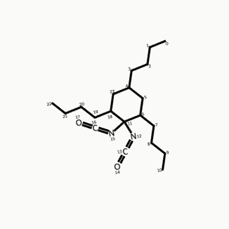 CCCCC1CC(CCCC)C(N=C=O)(N=C=O)C(CCCC)C1